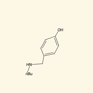 CCCCNCc1ccc(O)cc1